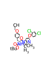 C#CCOc1ccc(C[C@H](NC(=O)OC(C)(C)C)C(=O)N2CC(C)(C)c3ncc(Oc4ccc(Cl)cc4Cl)cc32)cc1